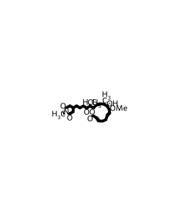 CO[C@H]1/C=C/CC/C=C/C(=O)OC([C@H](C)C(=O)CCCC2CC(=O)N(C)C(=O)C2)/C(C)=C\[C@@H](C)[C@@H]1O